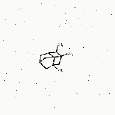 CC1C2CC3CC(N)(C2)CC1(C)C3